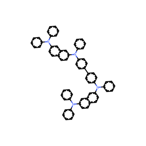 c1ccc(N(c2ccccc2)c2ccc3ccc(N(c4ccccc4)c4ccc(-c5ccc(N(c6ccccc6)c6ccc7ccc(N(c8ccccc8)c8ccccc8)cc7c6)cc5)cc4)cc3c2)cc1